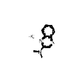 CN(C)c1cnc2ccccc2n1.Cl